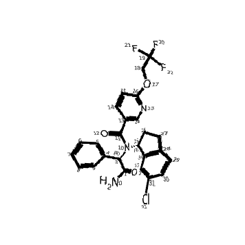 NC(=O)[C@@H](c1ccccc1)N(C(=O)c1ccc(OCC(F)(F)F)nc1)[C@@H]1CCc2ccc(Cl)cc21